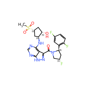 CS(=O)(=O)[C@H]1C[C@H](Nc2ncnc3[nH]nc(C(=O)N4C[C@@H](F)C[C@@H]4c4cc(F)ccc4F)c23)[C@@H](O)C1